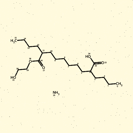 CCCCC(CCCCCCC(CCCC)C(=O)OCCO)C(=O)O.N